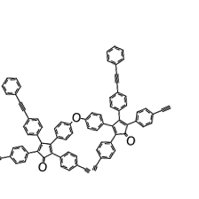 C#Cc1ccc(C2=C(c3ccc(C#Cc4ccccc4)cc3)C(c3ccc(Oc4ccc(C5=C(c6ccc(C#C)cc6)C(=O)C(c6ccc(C#C)cc6)=C5c5ccc(C#Cc6ccccc6)cc5)cc4)cc3)=C(c3ccc(C#C)cc3)C2=O)cc1